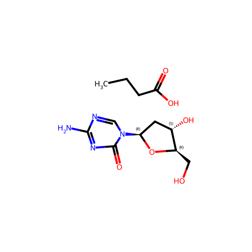 CCCC(=O)O.Nc1ncn([C@H]2C[C@H](O)[C@@H](CO)O2)c(=O)n1